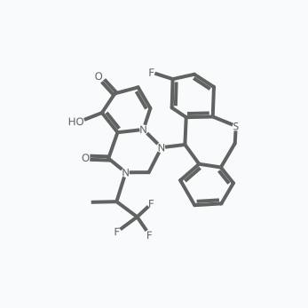 CC(N1CN(C2c3ccccc3CSc3ccc(F)cc32)n2ccc(=O)c(O)c2C1=O)C(F)(F)F